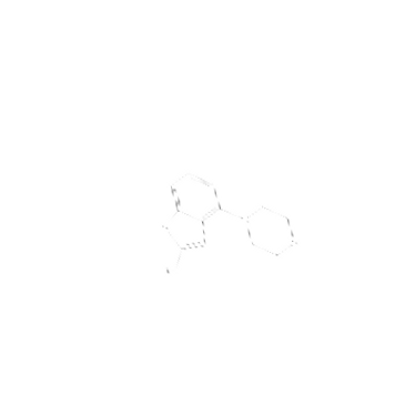 CC(C)c1cc2c(N3CCNCC3)cccc2[nH]1